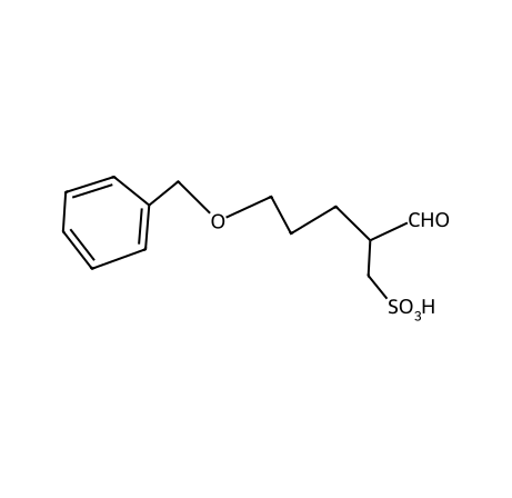 O=CC(CCCOCc1ccccc1)CS(=O)(=O)O